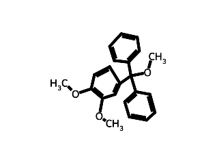 COc1ccc(C(OC)(c2ccccc2)c2ccccc2)cc1OC